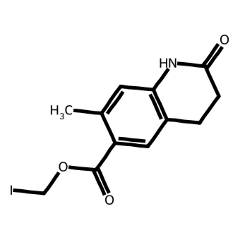 Cc1cc2c(cc1C(=O)OCI)CCC(=O)N2